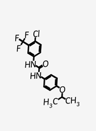 CC(C)Oc1ccc(NC(=O)Nc2ccc(Cl)c(C(F)(F)F)c2)cc1